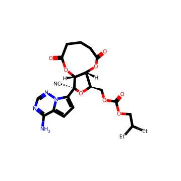 CCC(CC)COC(=O)OC[C@H]1O[C@@](C#N)(c2ccc3c(N)ncnn23)[C@@H]2OC(=O)CCCC(=O)O[C@@H]21